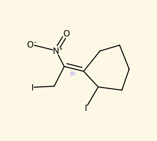 O=[N+]([O-])/C(CI)=C1\CCCCC1I